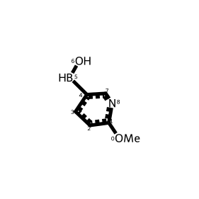 COc1ccc(BO)cn1